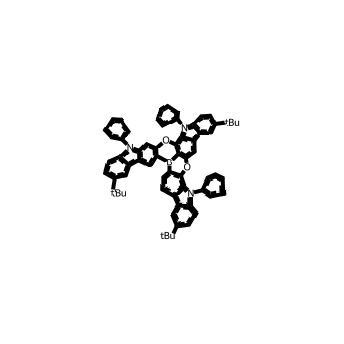 CC(C)(C)c1ccc2c(c1)c1cc3c(cc1n2-c1ccccc1)Oc1c2c(cc4c5cc(C(C)(C)C)ccc5n(-c5ccccc5)c14)Oc1c(ccc4c5cc(C(C)(C)C)ccc5n(-c5ccccc5)c14)B32